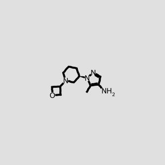 Cc1c(N)cnn1[C@@H]1CCCN(C2COC2)C1